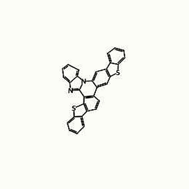 c1ccc2c(c1)nc1c3c(ccc4c5ccccc5sc43)c3cc4sc5ccccc5c4cc3n21